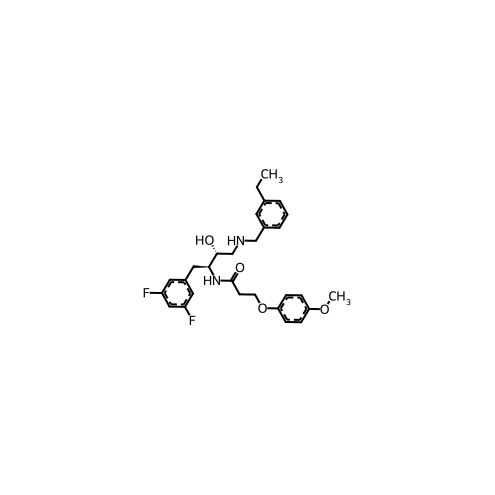 CCc1cccc(CNC[C@@H](O)[C@H](Cc2cc(F)cc(F)c2)NC(=O)CCOc2ccc(OC)cc2)c1